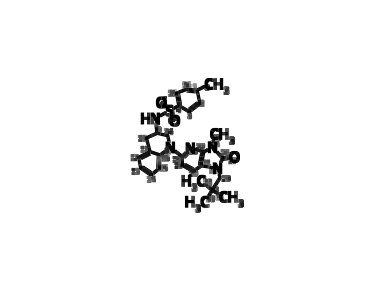 Cc1ccc(S(=O)(=O)NC2Cc3ccccc3N(c3ccc4c(n3)n(C)c(=O)n4CC(C)(C)C)C2)cc1